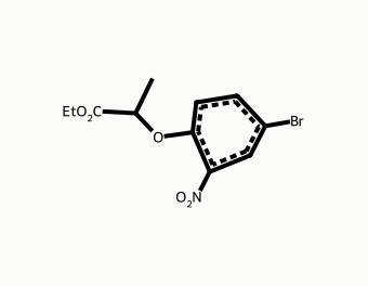 CCOC(=O)C(C)Oc1ccc(Br)cc1[N+](=O)[O-]